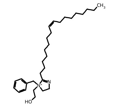 CCCCCCCC/C=C\CCCCCCCCC1=NCC[N+]1(CCO)Cc1ccccc1